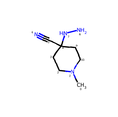 CN1CCC(C#N)(NN)CC1